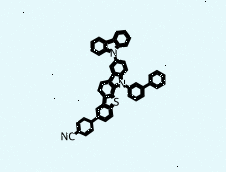 N#CC1=CCC(c2ccc3sc4c(ccc5c6cc(-n7c8ccccc8c8ccccc87)ccc6n(-c6cccc(-c7ccccc7)c6)c54)c3c2)C=C1